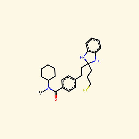 CN(C(=O)c1ccc(CCC2(CCCS)Nc3ccccc3N2)cc1)C1CCCCC1